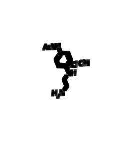 CC(=O)Nc1ccc(NCCN)cc1.Cl.Cl